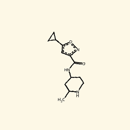 CC1CC(NC(=O)c2cc(C3CC3)on2)CCN1